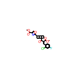 COC(=O)C(=Cc1ccc(F)cc1Cl)C(=O)C12C3C4C1C1C2C3C41c1nc(C(=O)OC)co1